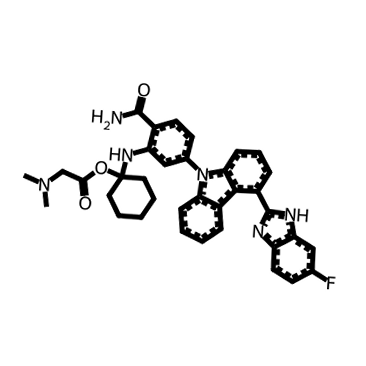 CN(C)CC(=O)OC1(Nc2cc(-n3c4ccccc4c4c(-c5nc6ccc(F)cc6[nH]5)cccc43)ccc2C(N)=O)CCCCC1